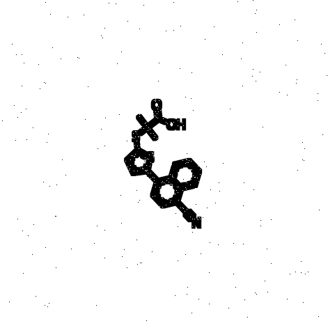 CC(C)(Sc1ccc(-c2ccc(C#N)c3ccccc23)s1)C(=O)O